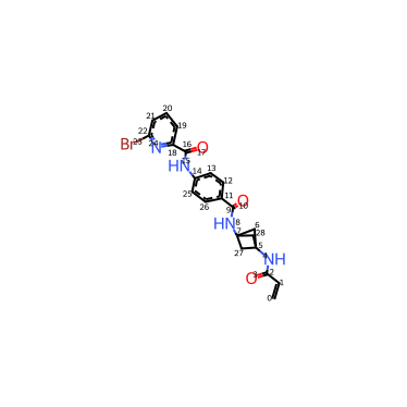 C=CC(=O)NC12CC(NC(=O)c3ccc(NC(=O)c4cccc(Br)n4)cc3)(C1)C2